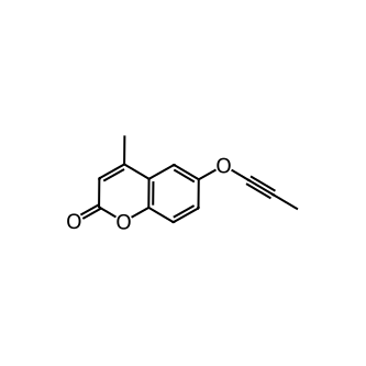 CC#COc1ccc2oc(=O)cc(C)c2c1